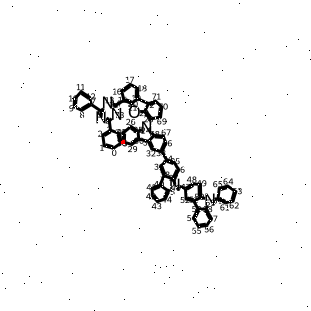 c1ccc(-c2nc(-c3ccccc3)nc(-c3cccc4c3oc3c(-n5c6ccccc6c6cc(-c7ccc8c(c7)c7ccccc7n8-c7ccc8c(c7)c7ccccc7n8-c7ccccc7)ccc65)cccc34)n2)cc1